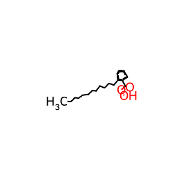 CCCCCCCCCCCCc1ccccc1C(=O)OO